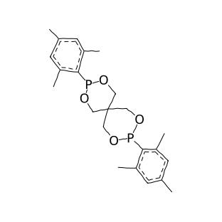 Cc1cc(C)c(P2OCC3(CO2)COP(c2c(C)cc(C)cc2C)OC3)c(C)c1